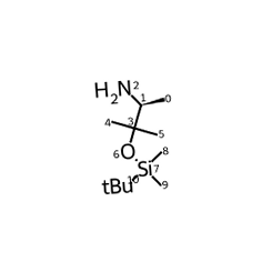 C[C@H](N)C(C)(C)O[Si](C)(C)C(C)(C)C